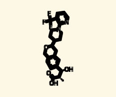 C[C@H](C(=O)O)[C@@H](O)c1ccc2c(c1)CC(C1CCN(c3ncccc3C(F)(F)F)CC1)OC2